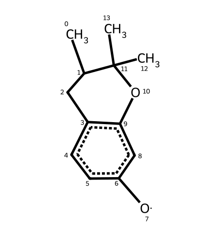 CC1Cc2ccc([O])cc2OC1(C)C